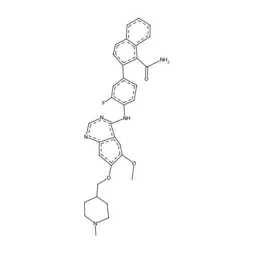 COc1cc2c(Nc3ccc(-c4ccc5ccccc5c4C(N)=O)cc3F)ncnc2cc1OCC1CCN(C)CC1